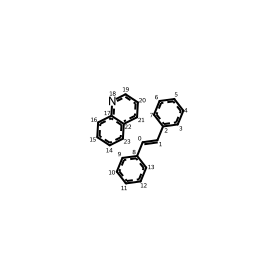 C(=Cc1ccccc1)c1ccccc1.c1ccc2ncccc2c1